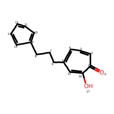 O=c1cccc(CCCc2ccccc2)cc1O